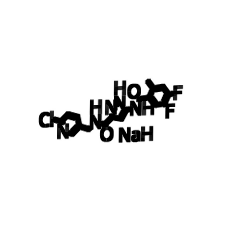 Cc1cc(F)c(F)cc1C(=O)Nc1cc(C(=O)NCc2ccc(Cl)nc2)n[nH]1.[NaH]